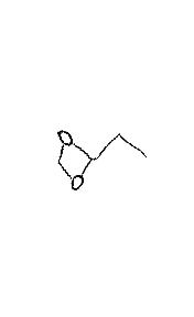 CCC1OCO1